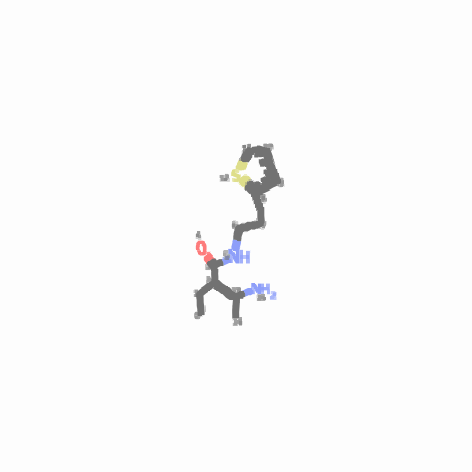 CCC(C(=O)NCCc1cccs1)=C(C)N